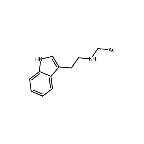 [CH2]C(=O)CNCCc1c[nH]c2ccccc12